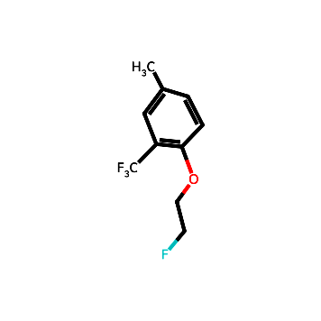 Cc1ccc(OCCF)c(C(F)(F)F)c1